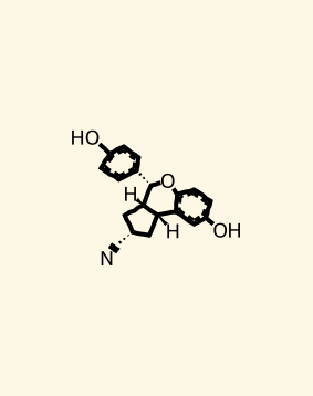 N#C[C@@H]1C[C@H]2[C@@H](C1)c1cc(O)ccc1O[C@H]2c1ccc(O)cc1